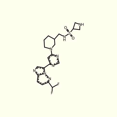 O=S(=O)(NCC1CCCN(c2cc(-c3cnc4ccc(C(F)F)nn34)ncn2)C1)C1CNC1